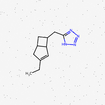 CCC1=CC2C(C1)CC2Cc1nnn[nH]1